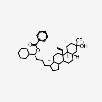 C=CC12CC[C@@]3(C)C(CCC3[C@H](C)CC[C@H](OC(=O)c3ccccc3)C3CCCCC3)C1CC[C@H]1C[C@](O)(C(F)(F)F)CC[C@@]12C